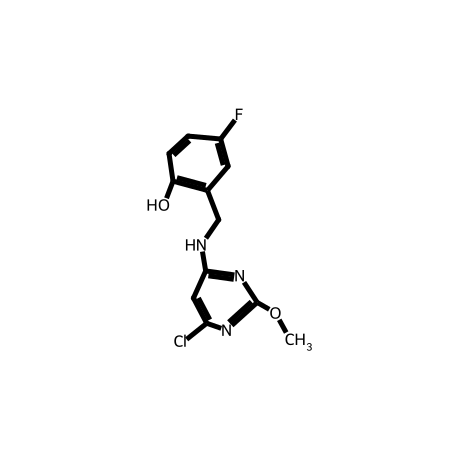 COc1nc(Cl)cc(NCc2cc(F)ccc2O)n1